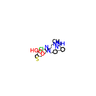 CCCCc1nc(Cl)c(COCc2sccc2C(=O)O)n1Cc1ccc(-c2ccccc2-c2nnn[nH]2)cc1